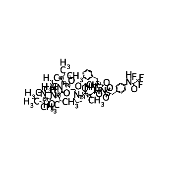 CC[C@H](C)[C@@H]([C@@H](CC(=O)N1CCC[C@H]1[C@H](OC)[C@@H](C)C(=O)N[C@@H](Cc1ccccc1)C(=O)NS(=O)(=O)Cc1ccc(NC(=O)C(F)(F)F)cc1)OC)N(C)C(=O)[C@@H](NC(=O)[C@H](C(C)C)N(C)C)C(C)C